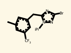 Cc1cc(Cc2nc(Br)nn2C(C)C)cc(C(F)(F)F)c1